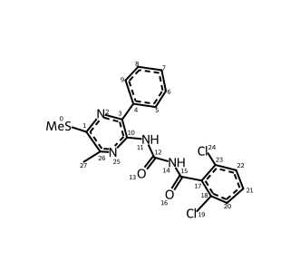 CSc1nc(-c2ccccc2)c(NC(=O)NC(=O)c2c(Cl)cccc2Cl)nc1C